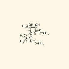 C=CCOC(=O)C(=C)C.C=CCc1cccc(O)c1O.O